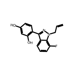 C=CCn1nc(-c2ccc(O)cc2O)c2cccc(F)c21